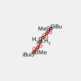 COc1cc(OCC(C)C)ccc1C(=O)Oc1ccc(C(=O)Oc2ccc(C(C)(C)c3ccc(OC(=O)c4ccc(OC(=O)c5ccc(OCC(C)C)cc5OC)cc4)cc3)cc2)cc1